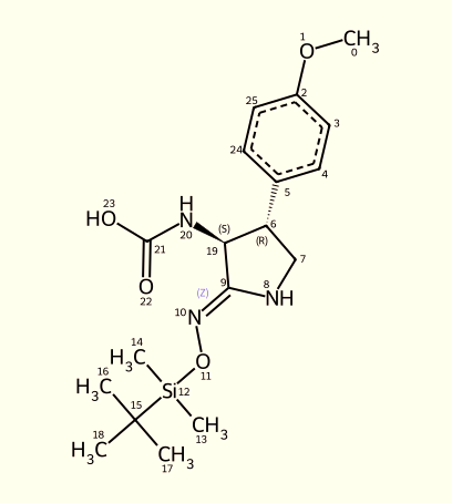 COc1ccc([C@@H]2CN/C(=N\O[Si](C)(C)C(C)(C)C)[C@H]2NC(=O)O)cc1